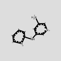 Nc1cncc(Nc2ccccn2)c1